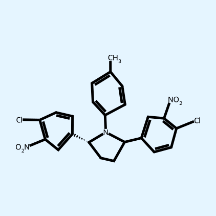 Cc1ccc(N2C(c3ccc(Cl)c([N+](=O)[O-])c3)CC[C@@H]2c2ccc(Cl)c([N+](=O)[O-])c2)cc1